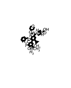 Cc1c(-c2c(C3CC3)cc3c(N4C[C@@H]5C[C@H]4CN5C(=O)O)nc(OC4CCOCC4)nc3c2OCc2ccccc2)cc(C(C)(C)C)c(O)c1F